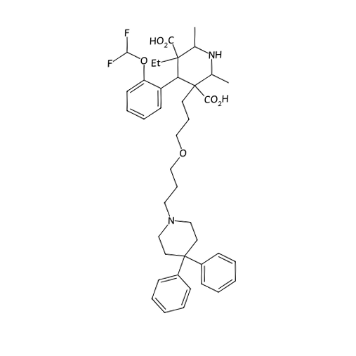 CCC1(C(=O)O)C(C)NC(C)C(CCCOCCCN2CCC(c3ccccc3)(c3ccccc3)CC2)(C(=O)O)C1c1ccccc1OC(F)F